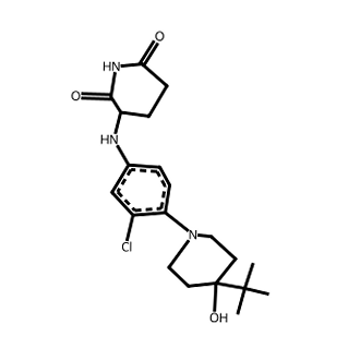 CC(C)(C)C1(O)CCN(c2ccc(NC3CCC(=O)NC3=O)cc2Cl)CC1